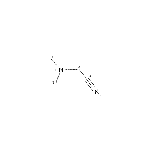 CN(C)[CH]C#N